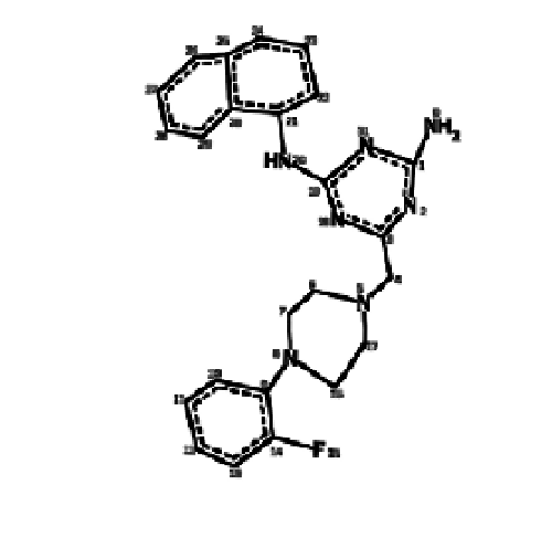 Nc1nc(CN2CCN(c3ccccc3F)CC2)nc(Nc2cccc3ccccc23)n1